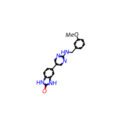 COc1cccc(CNc2ncc(-c3ccc4[nH]c(=O)[nH]c4c3)cn2)c1